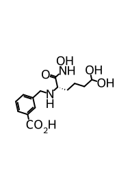 O=C(O)c1cccc(CN[C@@H](CCCC(O)O)C(=O)NO)c1